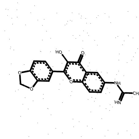 CC(=N)Nc1ccc2oc(-c3ccc4c(c3)OCO4)c(O)c(=O)c2c1